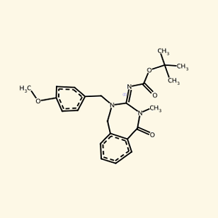 COc1ccc(CN2Cc3ccccc3C(=O)N(C)/C2=N\C(=O)OC(C)(C)C)cc1